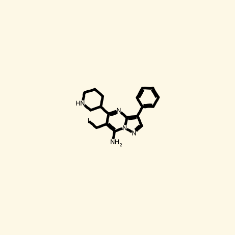 Nc1c(CI)c(C2CCCNC2)nc2c(-c3ccccc3)cnn12